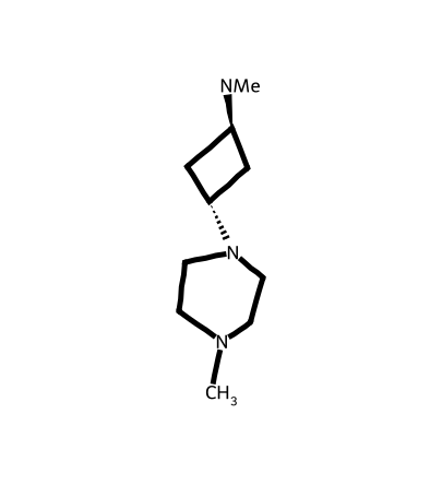 CN[C@H]1C[C@H](N2CCN(C)CC2)C1